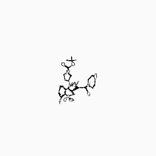 CC(C)(C)OC(=O)N1CC[C@@H](n2nc(C(=O)N3CCOCC3)c3c2-c2cccc(F)c2S(=O)(=O)C3)C1